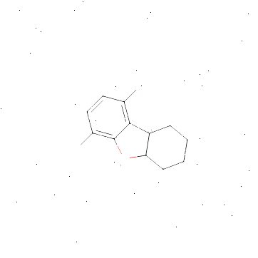 Cc1ccc(C)c2c1OC1CCCCC21